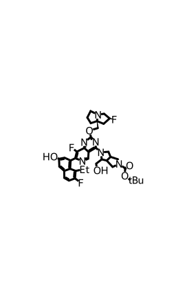 CCc1c(F)ccc2cc(O)cc(-c3ncc4c(N5CC6CN(C(=O)OC(C)(C)C)CC6C5CO)nc(OC[C@@]56CCCN5C[C@H](F)C6)nc4c3F)c12